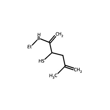 C=C(C)CC(S)C(=C)BCC